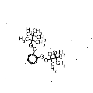 CC(C)(C)C(C)(C)OOc1ccccc1OOC(C)(C)C(C)(C)C